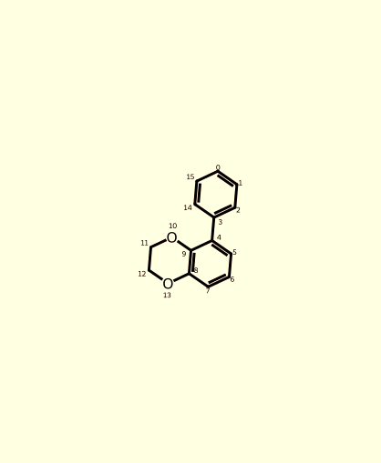 c1ccc(-c2cccc3c2OCCO3)cc1